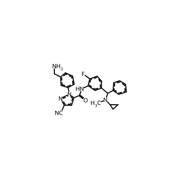 CN(C1CC1)C(c1ccccc1)c1ccc(F)c(NC(=O)c2cc(C#N)nn2-c2cccc(CN)c2)c1